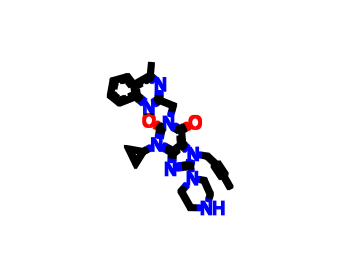 CC#CCn1c(N2CCNCC2)nc2c1c(=O)n(Cc1nc(C)c3ccccc3n1)c(=O)n2C1CC1